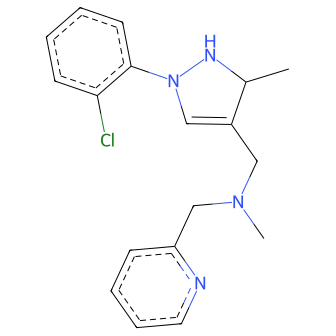 CC1NN(c2ccccc2Cl)C=C1CN(C)Cc1ccccn1